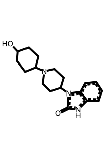 O=c1[nH]c2ccccc2n1C1CCN(C2CCC(O)CC2)CC1